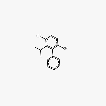 CC(C)c1c(O)ccc(O)c1-c1ccccc1